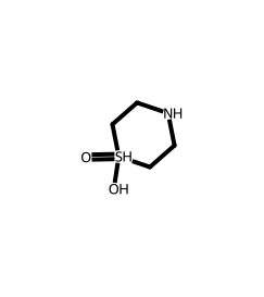 O=[SH]1(O)CCNCC1